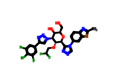 Cc1nc2ccc(-n3cnnc3[C@@H]3O[C@H](CO)[C@H](O)[C@H](n4cc(-c5cc(F)c(Br)c(F)c5)nn4)[C@H]3OCC(F)F)cc2s1